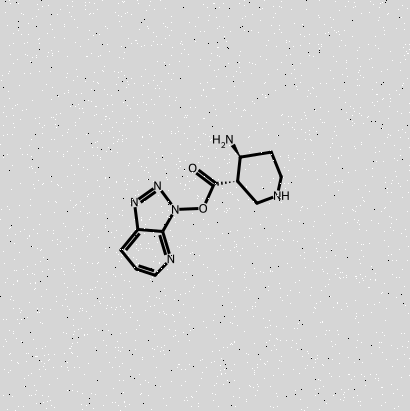 N[C@H]1CCNC[C@@H]1C(=O)On1nnc2cccnc21